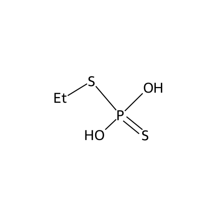 CCSP(O)(O)=S